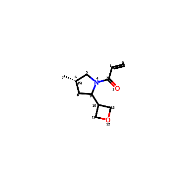 C=CC(=O)N1C[C@@H](C)CC1C1COC1